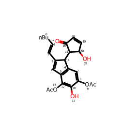 CCCCC=CC1=Cc2c(cc(OC(C)=O)c(O)c2OC(C)=O)C1C1C(=O)C=CC1O